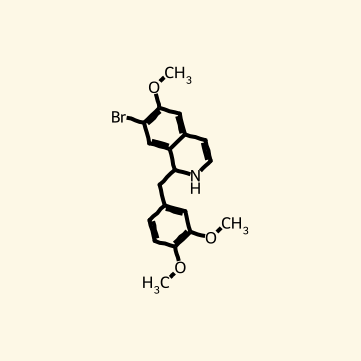 COc1cc2c(cc1Br)C(Cc1ccc(OC)c(OC)c1)NC=C2